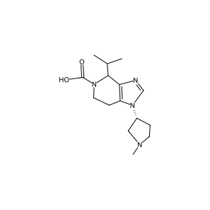 CC(C)C1c2ncn([C@@H]3CCN(C)C3)c2CCN1C(=O)O